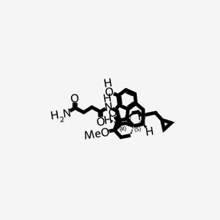 COC12CC[C@@]3(C[C@@H]1CNC(=O)CCC(N)=O)[C@H]1Cc4ccc(O)c5c4[C@@]3(CCN1CC1CC1)C2O5